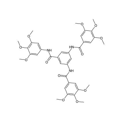 COc1cc(NC(=O)c2cc(NC(=O)c3cc(OC)c(OC)c(OC)c3)cc(NC(=O)c3cc(OC)c(OC)c(OC)c3)c2)cc(OC)c1OC